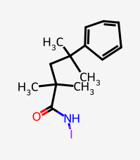 CC(C)(CC(C)(C)c1ccccc1)C(=O)NI